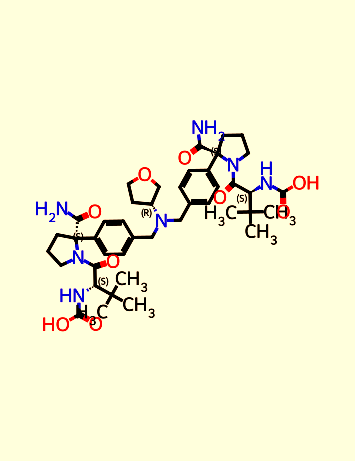 CC(C)(C)[C@H](NC(=O)O)C(=O)N1CCC[C@@]1(C(N)=O)c1ccc(CN(Cc2ccc([C@]3(C(N)=O)CCCN3C(=O)[C@@H](NC(=O)O)C(C)(C)C)cc2)[C@@H]2CCOC2)cc1